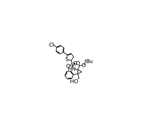 CC(C)(C)OC(=O)C1(NS(=O)(=O)C2CC=C(c3ccc(Cl)cc3)S2)CC1(CO)c1ccccc1